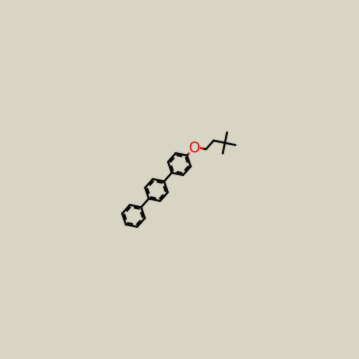 CC(C)(C)CCOc1ccc(-c2ccc(-c3ccccc3)cc2)cc1